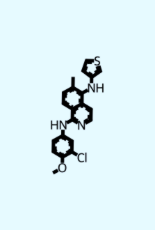 COc1ccc(Nc2nccc3c(Nc4ccsc4)c(C)ccc23)cc1Cl